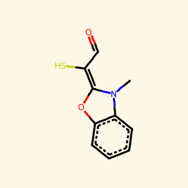 CN1/C(=C(/S)C=O)Oc2ccccc21